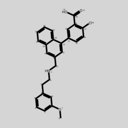 COc1cccc(CCNCc2cc(-c3ccc(Cl)c(C(=O)O)c3)c3ccccc3c2)c1